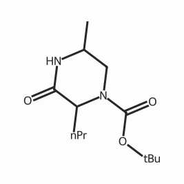 CCCC1C(=O)NC(C)CN1C(=O)OC(C)(C)C